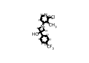 Cc1c(N2CC(O)(c3ccc(C(F)(F)F)cc3)C2)ccnc1Cl